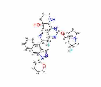 CC1(O)CCCNC1c1nc(OC[C@@]23CCCN2C[C@H](F)C3)nc2c(F)c(-c3c4ccccc4cc4c3cnn4C3CCCCO3)ncc12